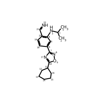 CC(C)Nc1cc(-c2noc(C3CCCCC3)n2)ccc1C=N